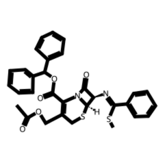 CSC(=N[C@@H]1C(=O)N2C(C(=O)OC(c3ccccc3)c3ccccc3)=C(COC(C)=O)CS[C@H]12)c1ccccc1